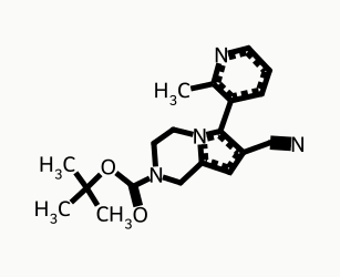 Cc1ncccc1-c1c(C#N)cc2n1CCN(C(=O)OC(C)(C)C)C2